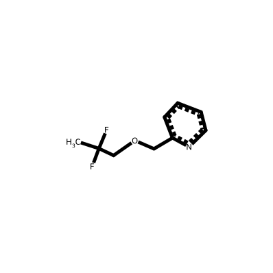 CC(F)(F)COCc1ccccn1